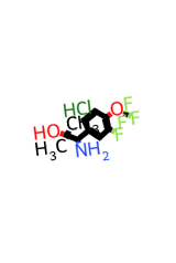 CC(C)(O)C(N)c1ccc(OC(F)(F)F)c(F)c1.Cl